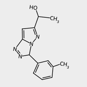 Cc1cccc(C2N=Nc3cc(C(C)O)nn32)c1